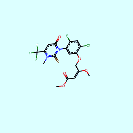 COC(=O)/C=C(\COc1cc(-n2c(=O)cc(C(F)(F)F)n(C)c2=S)c(F)cc1Cl)OC